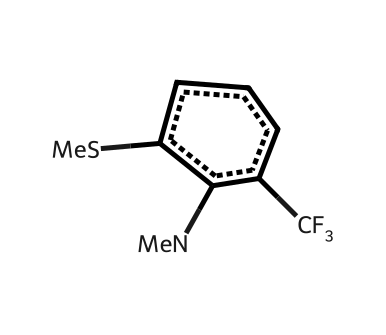 CNc1c(SC)cccc1C(F)(F)F